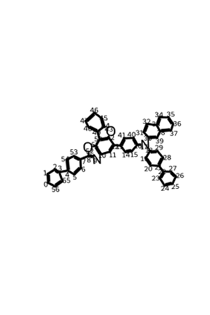 c1ccc(-c2ccc(-c3nc4cc(-c5ccc(N(c6ccc(-c7ccccc7)cc6)c6ccc7ccccc7c6)cc5)c5oc6ccccc6c5c4o3)cc2)cc1